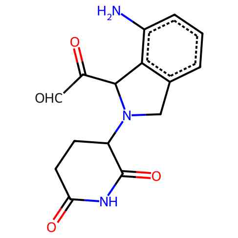 Nc1cccc2c1C(C(=O)C=O)N(C1CCC(=O)NC1=O)C2